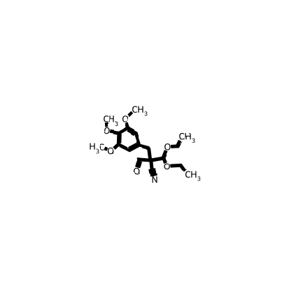 CCOC(OCC)C(C#N)(C=O)Cc1cc(OC)c(OC)c(OC)c1